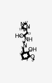 COc1cccc(/C=N/CNC(O)Cn2cncn2)c1O